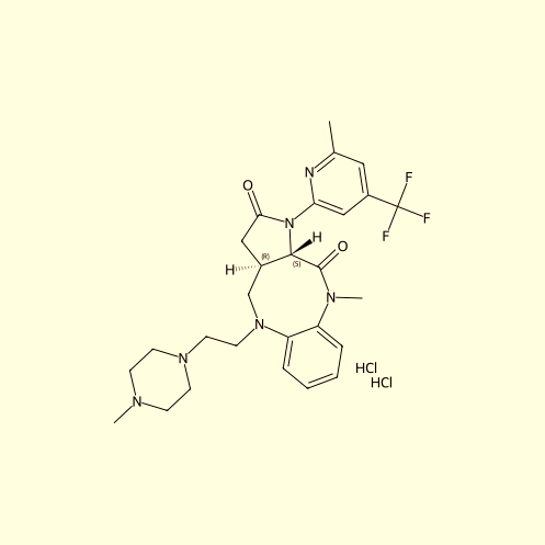 Cc1cc(C(F)(F)F)cc(N2C(=O)C[C@@H]3CN(CCN4CCN(C)CC4)c4ccccc4N(C)C(=O)[C@H]32)n1.Cl.Cl